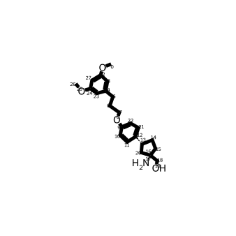 COc1cc(CCCOc2ccc([C@@H]3CC[C@@](N)(CO)C3)cc2)cc(OC)c1